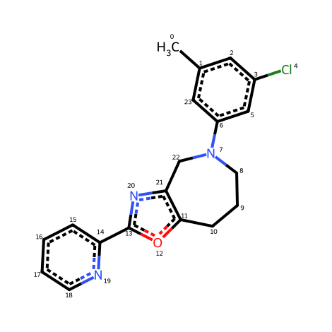 Cc1cc(Cl)cc(N2CCCc3oc(-c4ccccn4)nc3C2)c1